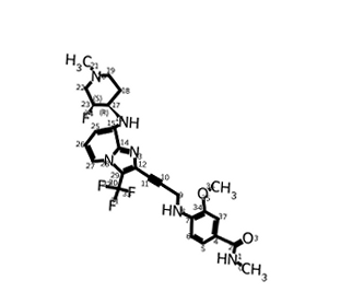 CNC(=O)c1ccc(NCC#Cc2nc3c(N[C@@H]4CCN(C)C[C@@H]4F)cccn3c2C(F)(F)F)c(OC)c1